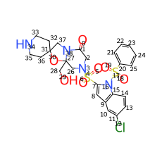 O=C1CN(S(=O)(=O)c2cc3cc(Cl)ccc3n2S(=O)(=O)c2ccccc2)CC2(CO)OC3(CCNCC3)CN12